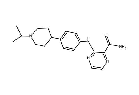 CC(C)N1CCC(c2ccc(Nc3nccnc3C(N)=O)cc2)CC1